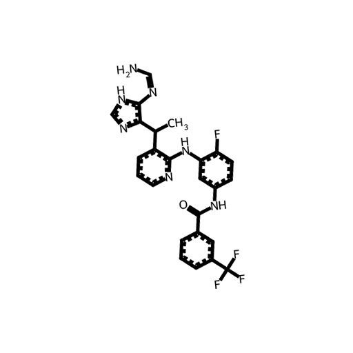 CC(c1cccnc1Nc1cc(NC(=O)c2cccc(C(F)(F)F)c2)ccc1F)c1nc[nH]c1/N=C\N